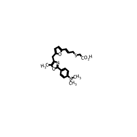 Cc1oc(-c2ccc(N(C)C)cc2)nc1Cc1ccc(C=CCSCC(=O)O)o1